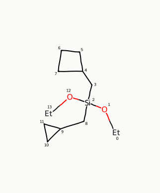 CCO[Si](CC1CCC1)(CC1CC1)OCC